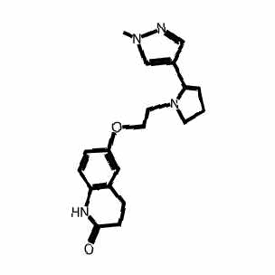 Cn1cc(C2CCCN2CCOc2ccc3c(c2)CCC(=O)N3)cn1